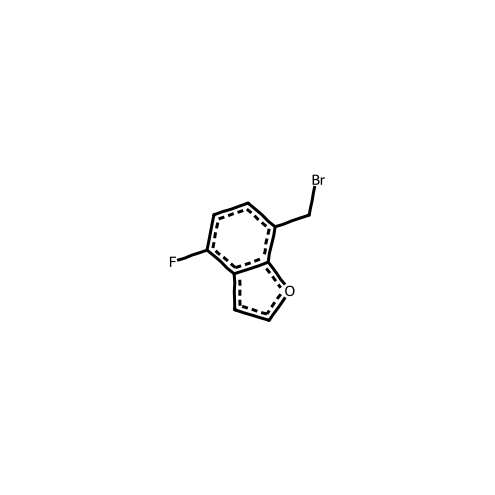 Fc1ccc(CBr)c2occc12